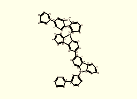 c1ccc(-c2cccc(-n3c4ccccc4c4cc(-c5ccc6c(c5)c5ccccc5n6-c5cccc6oc7cc(-c8ccccc8)ccc7c56)ccc43)c2)cc1